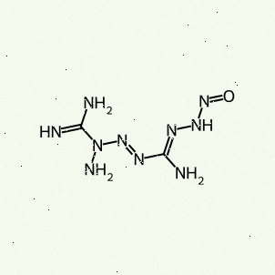 N=C(N)N(N)N=NC(N)=NNN=O